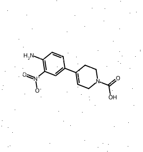 Nc1ccc(C2=CCN(C(=O)O)CC2)cc1[N+](=O)[O-]